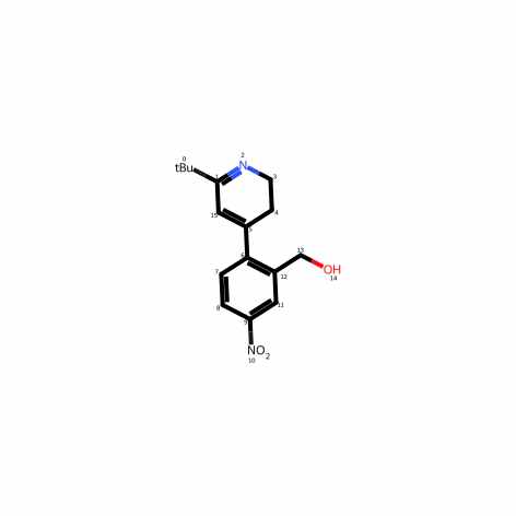 CC(C)(C)C1=NCCC(c2ccc([N+](=O)[O-])cc2CO)=C1